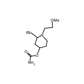 COCCN1CCC(OC(N)=O)CC1C(C)(C)C